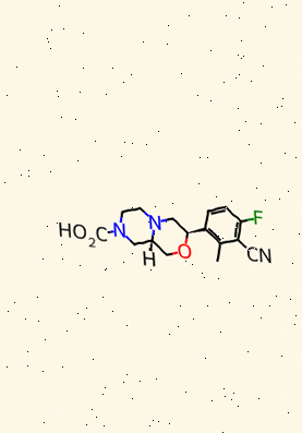 Cc1c([C@@H]2CN3CCN(C(=O)O)C[C@H]3CO2)ccc(F)c1C#N